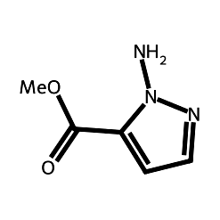 COC(=O)c1ccnn1N